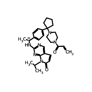 C=CC(=O)N1CCN(C2(c3ccc([C@H](C)Nc4ncc5ccc(=O)n(C(C)C)c5n4)cc3)CCCC2)CC1